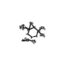 CC1(C)CCCC2(C)OC12.COC(C)=O